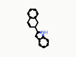 C1=CC(c2cc3ccccc3[nH]2)Cc2ccccc21